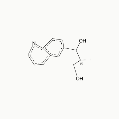 C[C@H](CO)C(O)c1ccc2ncccc2c1